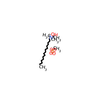 CCCCCCCCCCCCCCCC[N+](C)(C)C(C)O.COS(=O)(=O)[O-]